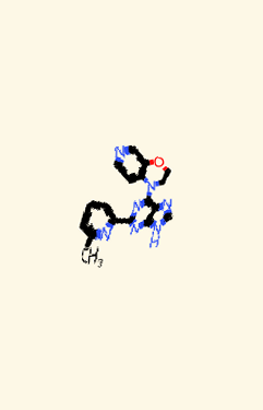 Cc1cccc(-c2nc(N3CCOc4cnccc43)c3nc[nH]c3n2)n1